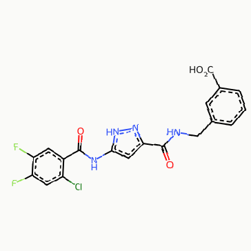 O=C(O)c1cccc(CNC(=O)c2cc(NC(=O)c3cc(F)c(F)cc3Cl)[nH]n2)c1